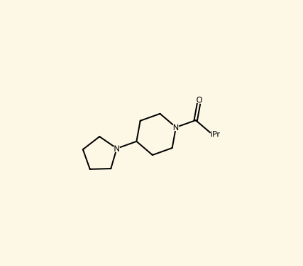 CC(C)C(=O)N1CCC(N2CCCC2)CC1